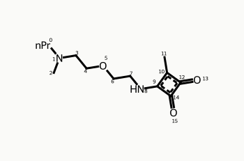 CCCN(C)CCOCCNc1c(C)c(=O)c1=O